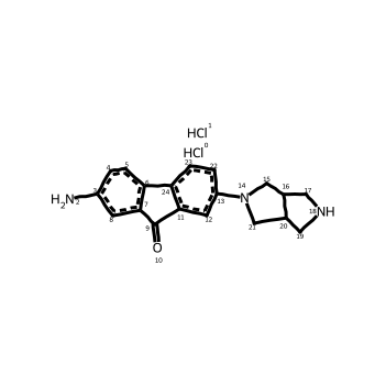 Cl.Cl.Nc1ccc2c(c1)C(=O)c1cc(N3CC4CNCC4C3)ccc1-2